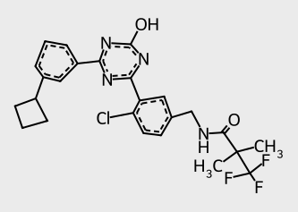 CC(C)(C(=O)NCc1ccc(Cl)c(-c2nc(O)nc(-c3cccc(C4CCC4)c3)n2)c1)C(F)(F)F